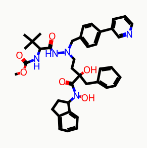 COC(=O)NC(C(=O)NN(CCC(O)(Cc1ccccc1)C(=O)N(O)C1CCc2ccccc21)Cc1ccc(-c2cccnc2)cc1)C(C)(C)C